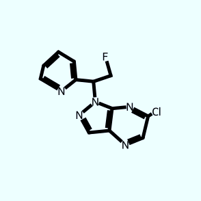 FCC(c1ccccn1)n1ncc2ncc(Cl)nc21